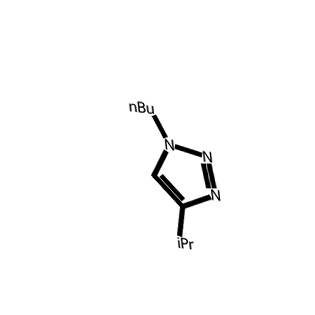 CCCCn1cc(C(C)C)nn1